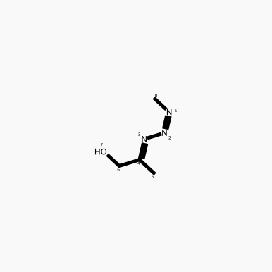 C/N=N\N=C(/C)CO